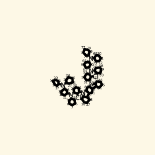 Clc1c(N(c2ccccc2)c2cccc(N(c3ccccc3)c3ccccc3)c2)cccc1-n1c2ccccc2c2cc3c4ccccc4n(-c4cccc(N(c5ccccc5)c5cccc(N(c6ccccc6)c6ccccc6)c5)c4Cl)c3cc21